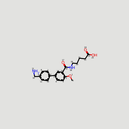 COc1ccc(-c2ccc(CN)cc2)cc1C(=O)NCCCCC(=O)O